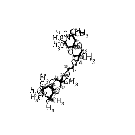 CN1C(C)(C)CC2(CC1(C)C)OCC(C)(COCCOCC1(C)COC3(CC(C)(C)N(C)C(C)(C)C3)OC1)CO2